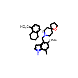 COc1cc(C)c2[nH]ccc2c1CN1CCC2(CCCO2)C[C@H]1c1ccc(C(=O)O)c2c1CCCC2